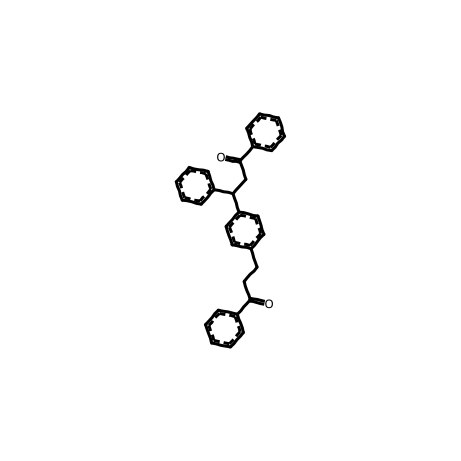 O=C(CCc1ccc(C(CC(=O)c2ccccc2)c2ccccc2)cc1)c1ccccc1